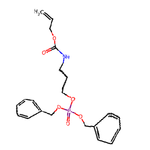 C=CCOC(=O)NCCCOP(=O)(OCc1ccccc1)OCc1ccccc1